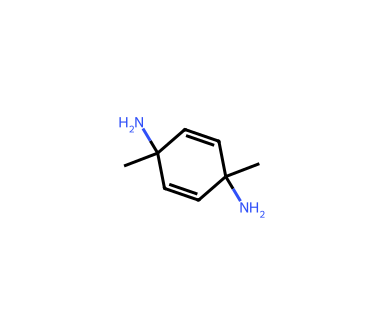 CC1(N)C=CC(C)(N)C=C1